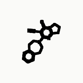 N#Cc1c(N2CCc3ccccc3CC2)nc2n(c1=O)CCC2